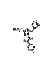 CCOC(=O)c1cc(NC(=O)c2ccc(C)cc2)n(Cc2ccc(F)cc2)n1